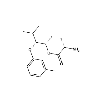 Cc1cccc(O[C@H](C(C)C)[C@H](C)OC(=O)[C@H](C)N)c1